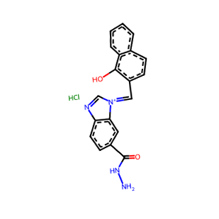 Cl.NNC(=O)c1ccc2c(c1)[N+](=Cc1ccc3ccccc3c1O)C=N2